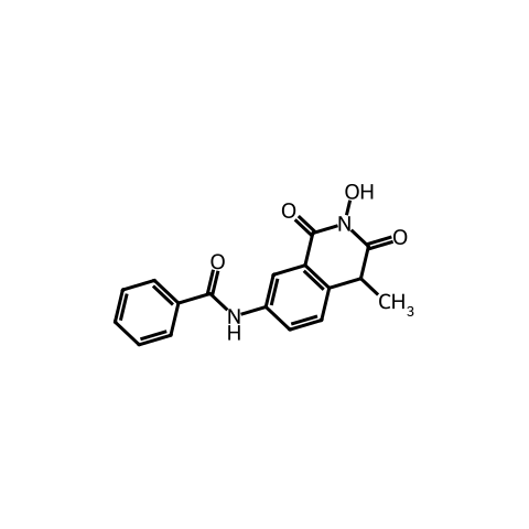 CC1C(=O)N(O)C(=O)c2cc(NC(=O)c3ccccc3)ccc21